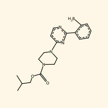 Bc1ccccc1-c1nccc(N2CCN(C(=O)OCC(C)C)CC2)n1